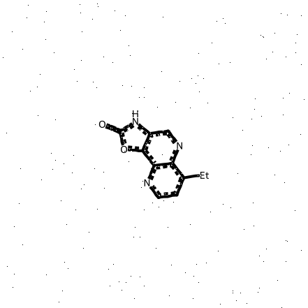 CCc1ccnc2c1ncc1[nH]c(=O)oc12